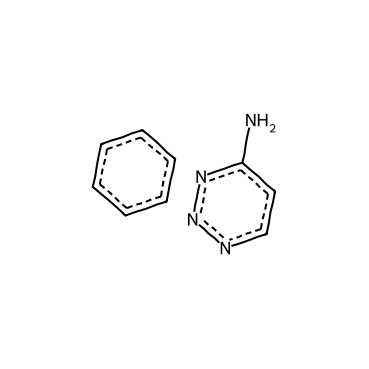 Nc1ccnnn1.c1ccccc1